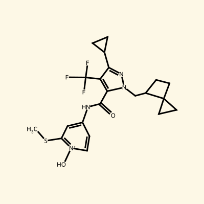 CSc1cc(NC(=O)c2c(C(F)(F)F)c(C3CC3)nn2CC2CCC23CC3)cc[n+]1O